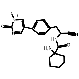 Cn1cc(-c2ccc(CC(C#N)NC(=O)C3(N)CCCCC3)cc2)cnc1=O